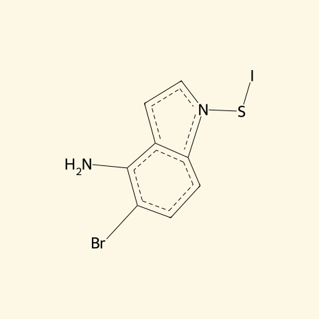 Nc1c(Br)ccc2c1ccn2SI